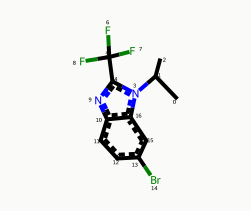 CC(C)n1c(C(F)(F)F)nc2ccc(Br)cc21